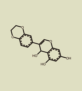 Oc1cc(O)c2c(c1)OC=C(c1ccc3c(c1)OCCO3)C2O